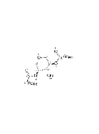 CCCCCC(=O)O[C@H]1COC[C@@H](OC(=O)CCCCC)[C@@H]1O